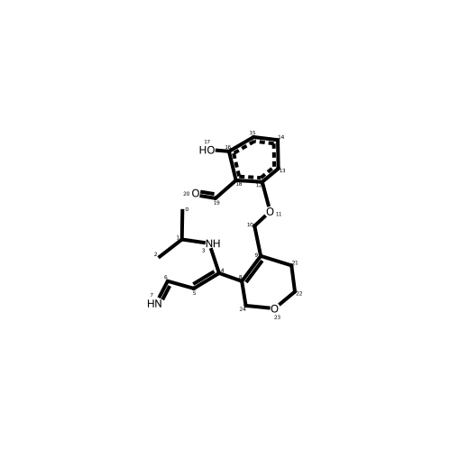 CC(C)N/C(=C\C=N)C1=C(COc2cccc(O)c2C=O)CCOC1